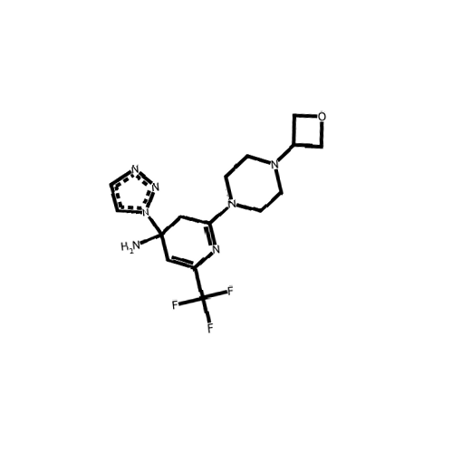 NC1(n2ccnn2)C=C(C(F)(F)F)N=C(N2CCN(C3COC3)CC2)C1